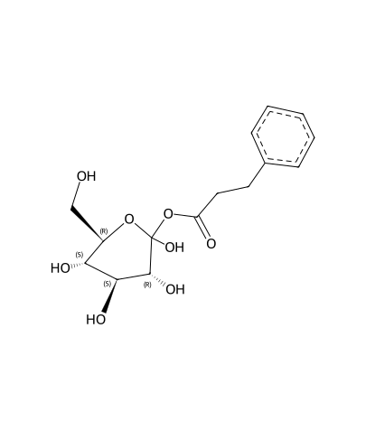 O=C(CCc1ccccc1)OC1(O)O[C@H](CO)[C@@H](O)[C@H](O)[C@H]1O